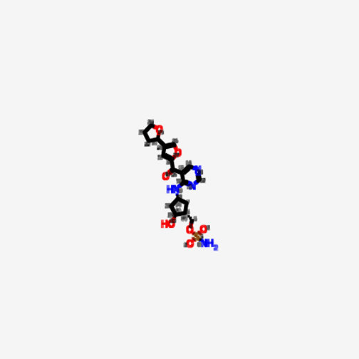 NS(=O)(=O)OC[C@H]1C[C@@H](Nc2ncncc2C(=O)c2cc(C3CCCO3)co2)C[C@@H]1O